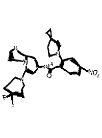 O=C(Nc1cc(N2CCC(F)(F)CC2)n2ccnc2c1)c1ccc([N+](=O)[O-])cc1N1CCC2(CC1)CC2